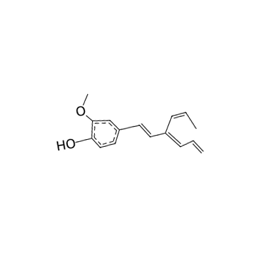 C=C/C=C(\C=C/C)/C=C/c1ccc(O)c(OC)c1